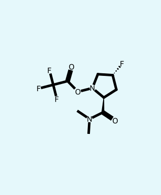 CN(C)C(=O)[C@@H]1C[C@@H](F)CN1OC(=O)C(F)(F)F